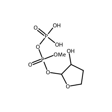 COP(=O)(OC1OCCC1O)OP(=O)(O)O